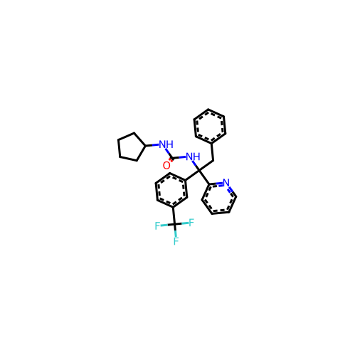 O=C(NC1CCCC1)NC(Cc1ccccc1)(c1cccc(C(F)(F)F)c1)c1ccccn1